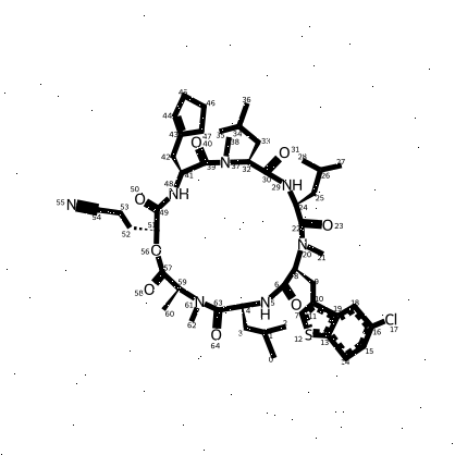 CC(C)C[C@@H]1NC(=O)[C@H](Cc2csc3ccc(Cl)cc23)N(C)C(=O)[C@H](CC(C)C)NC(=O)[C@H](CC(C)C)N(C)C(=O)[C@H](CC2=CCCC2)NC(=O)[C@@H](CCC#N)OC(=O)[C@H](C)N(C)C1=O